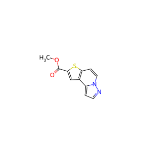 COC(=O)c1cc2c(ccn3nccc23)s1